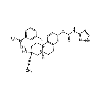 CC#CC1(O)CC[C@@]2(Cc3cccc(N(C)C)c3)c3ccc(OC(=O)Nc4nc[nH]n4)cc3CC[C@@H]2C1